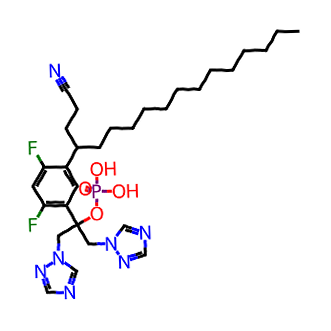 CCCCCCCCCCCCCC(CCC#N)c1cc(C(Cn2cncn2)(Cn2cncn2)OP(=O)(O)O)c(F)cc1F